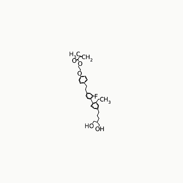 C=C(C)C(=O)OCCOc1ccc(CCc2ccc(-c3ccc(CCCC(CO)CO)cc3CC)c(F)c2)cc1